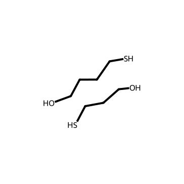 OCCCCS.OCCCS